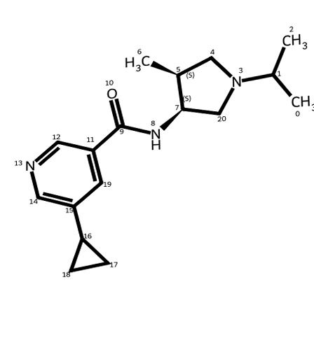 CC(C)N1C[C@H](C)[C@H](NC(=O)c2cncc(C3CC3)c2)C1